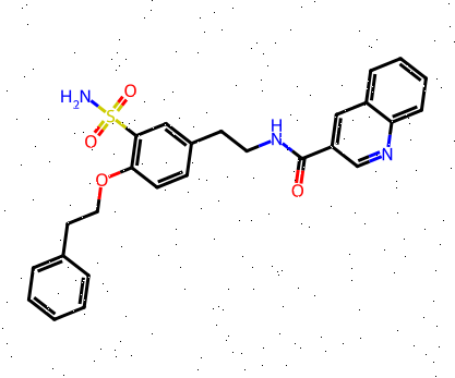 NS(=O)(=O)c1cc(CCNC(=O)c2cnc3ccccc3c2)ccc1OCCc1ccccc1